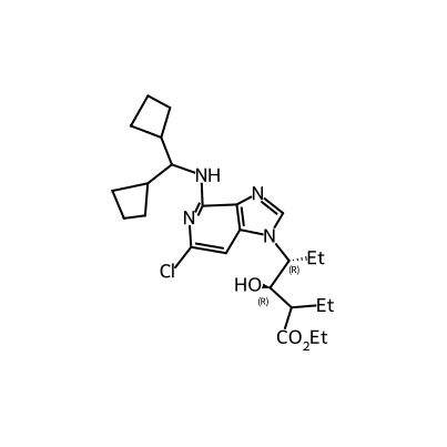 CCOC(=O)C(CC)[C@@H](O)[C@@H](CC)n1cnc2c(NC(C3CCC3)C3CCC3)nc(Cl)cc21